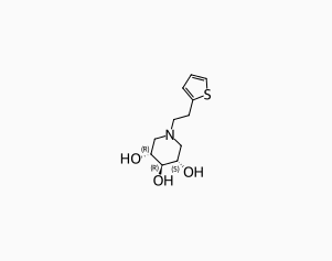 O[C@H]1[C@H](O)CN(CCc2cccs2)C[C@@H]1O